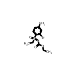 CCOC(=O)N=S(=O)(CC)c1ccc(N)cc1Br